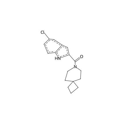 O=C(c1cc2cc(Cl)ccc2[nH]1)N1CCC2(CCC2)CC1